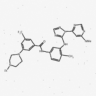 CCN1CCN(c2cc(C(=O)Nc3ccc(C)c(Nc4ncnn4-c4cc(NC)ncn4)c3)cc(C(F)(F)F)c2)CC1